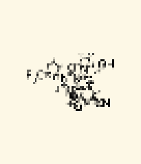 [C-]#[N+]C1=C(C)N(c2cccc(C(F)(F)F)c2)C(=O)N(C(=O)N2CCC[C@H]2CO)[C@@H]1c1ccc(C#N)cc1S(C)(=O)=O